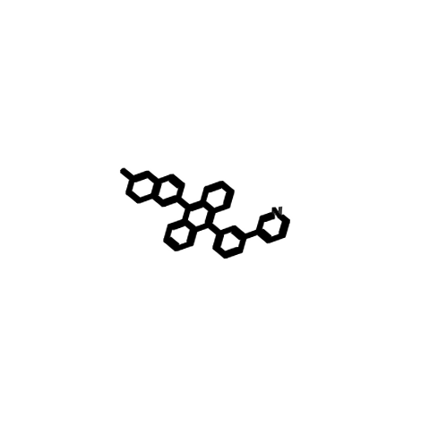 CC1=Cc2ccc(-c3c4ccccc4c(-c4cccc(-c5cccnc5)c4)c4ccccc34)cc2CC1